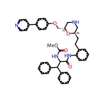 COC(=O)NC(C(=O)Nc1ccccc1CC[C@@H]1CNC[C@@H](COc2ccc(-c3ccncc3)cc2)O1)C(c1ccccc1)c1ccccc1